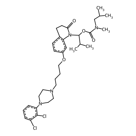 CC(C)CN(C)C(=O)OC(C(C)C)N1C(=O)CCc2ccc(OCCCCN3CCN(c4cccc(Cl)c4Cl)CC3)cc21